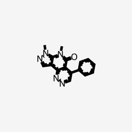 Cn1ncc2c3nncc(-c4ccccc4)c3c(=O)n(C)c21